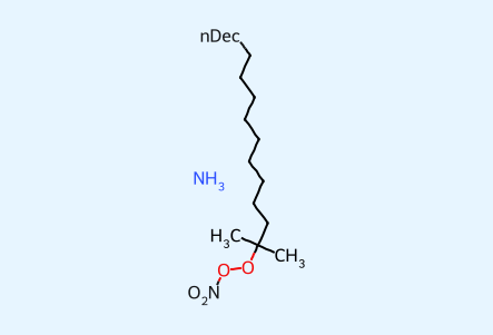 CCCCCCCCCCCCCCCCCCCC(C)(C)OO[N+](=O)[O-].N